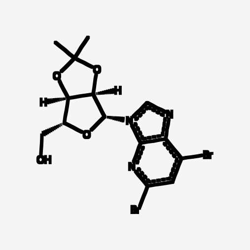 CC1(C)O[C@@H]2[C@H](O1)[C@@H](CO)O[C@H]2n1cnc2c(Br)cc(Br)nc21